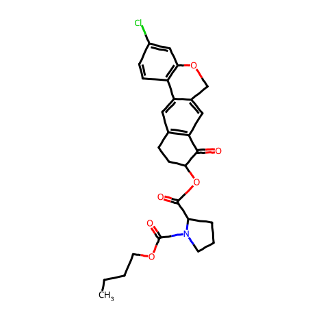 CCCCOC(=O)N1CCCC1C(=O)OC1CCc2cc3c(cc2C1=O)COc1cc(Cl)ccc1-3